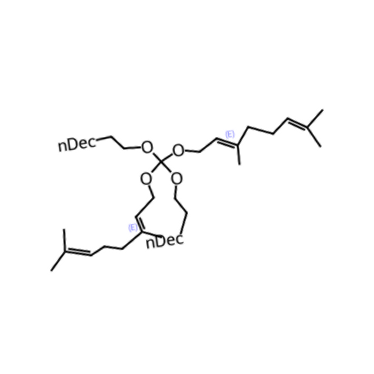 CCCCCCCCCCCCOC(OC/C=C(\C)CCC=C(C)C)(OC/C=C(\C)CCC=C(C)C)OCCCCCCCCCCCC